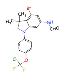 CC1(C)CN(c2ccc(OC(F)(F)Cl)cc2)c2cc(NC=O)cc(Br)c21